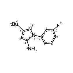 CC(C)(C)c1cc(N)n(-c2cccc(F)c2)n1